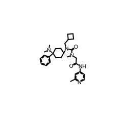 Cc1cc(NC(=O)CN2C[C@]3(CC[C@](c4ccccc4)(N(C)C)CC3)N(CC3CCC3)C2=O)ccn1